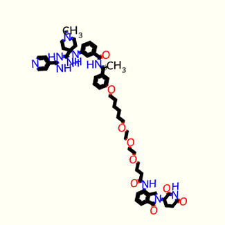 C[C@H](NC(=O)c1cccc(NC2(C(=N)NC(=N)c3ccncc3)CCN(C)CC2)c1)c1cccc(OCCCCCCOCCOCCOCCCC(=O)Nc2cccc3c2CN(C2CCC(=O)NC2=O)C3=O)c1